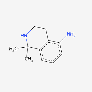 CC1(C)NCCc2c(N)cccc21